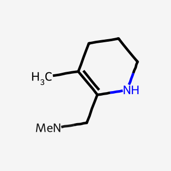 CNCC1=C(C)CCCN1